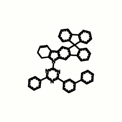 C1=Cc2c(n(-c3nc(-c4ccccc4)nc(-c4cccc(-c5ccccc5)c4)n3)c3cc4c(cc23)C2(c3ccccc3-c3ccccc32)c2ccccc2-4)CC1